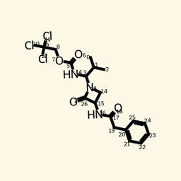 CC(C)C(NC(=O)OCC(Cl)(Cl)Cl)N1CC(NC(=O)Cc2ccccc2)C1=O